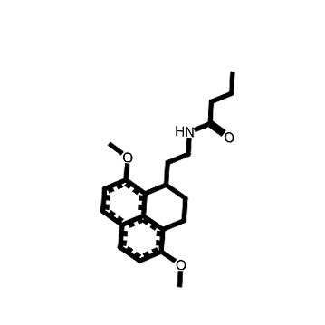 CCCC(=O)NCCC1CCc2c(OC)ccc3ccc(OC)c1c23